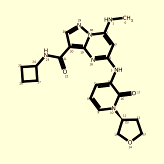 CNc1cc(Nc2cccn([C@H]3CCOC3)c2=O)nc2c(C(=O)NC3CCC3)cnn12